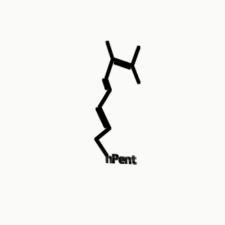 CCCCCCC=CC=CC(C)=C(C)C